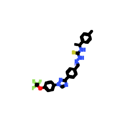 Cc1ccc(C(C)NC(=S)N/N=C/c2ccc(-c3ncn(-c4ccc(OC(F)(F)F)cc4)n3)cc2)cc1